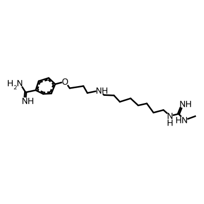 CNC(=N)NCCCCCCCCNCCCOc1ccc(C(=N)N)cc1